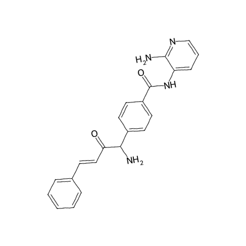 Nc1ncccc1NC(=O)c1ccc(C(N)C(=O)C=Cc2ccccc2)cc1